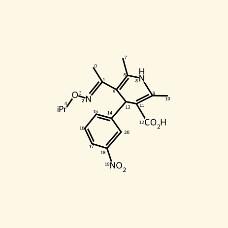 CC(=NOC(C)C)C1=C(C)NC(C)=C(C(=O)O)C1c1cccc([N+](=O)[O-])c1